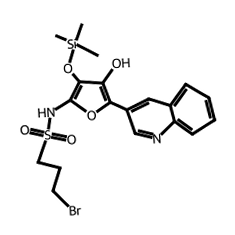 C[Si](C)(C)Oc1c(NS(=O)(=O)CCCBr)oc(-c2cnc3ccccc3c2)c1O